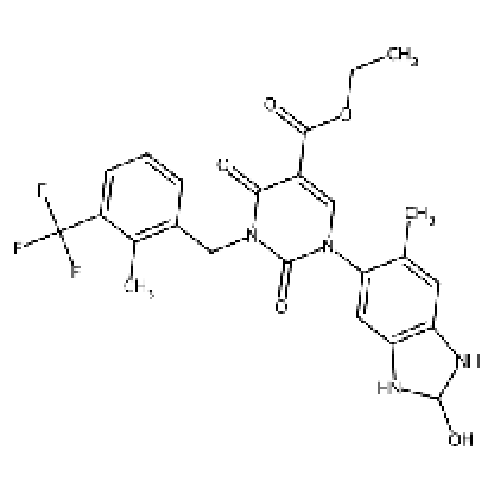 CCOC(=O)c1cn(-c2cc3c(cc2C)NC(O)N3)c(=O)n(Cc2cccc(C(F)(F)F)c2C)c1=O